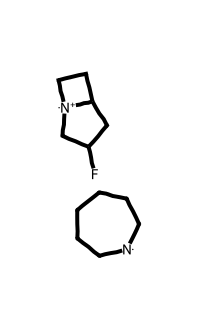 C1CCC[N]CC1.FC1CC2CC[N+]2C1